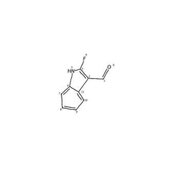 O=Cc1c(F)[nH]c2ccccc12